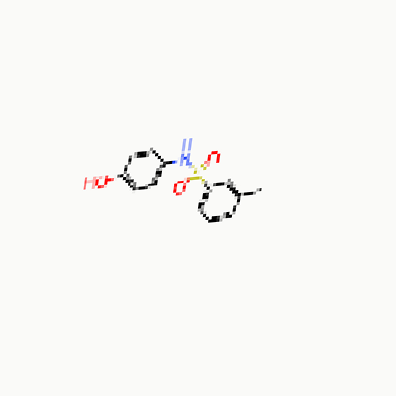 Cc1cccc(S(=O)(=O)Nc2ccc(O)cc2)c1